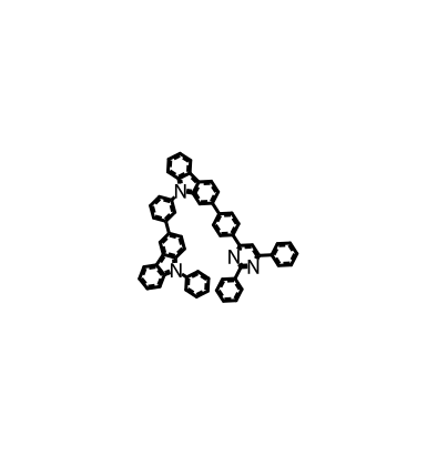 c1ccc(-c2cc(-c3ccc(-c4ccc5c6ccccc6n(-c6cccc(-c7ccc8c(c7)c7ccccc7n8-c7ccccc7)c6)c5c4)cc3)nc(-c3ccccc3)n2)cc1